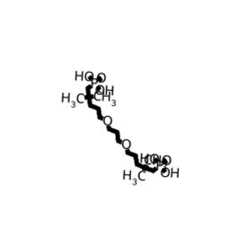 CC(C)(CCCOCCCOCCCC(C)(C)CP(=O)(O)O)CP(=O)(O)O